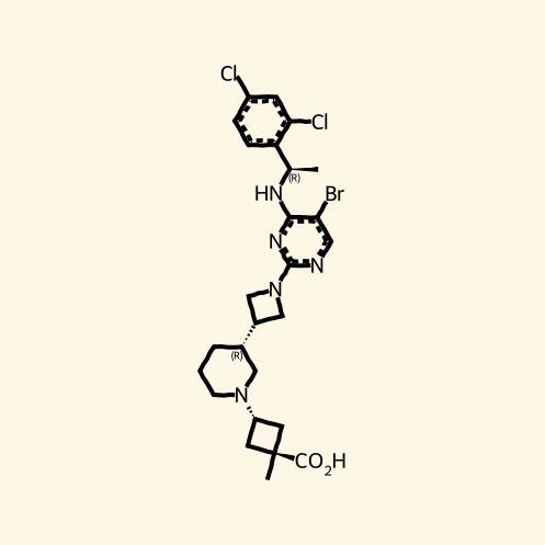 C[C@@H](Nc1nc(N2CC([C@H]3CCCN([C@H]4C[C@](C)(C(=O)O)C4)C3)C2)ncc1Br)c1ccc(Cl)cc1Cl